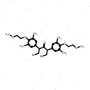 COCCOc1c(C)cc(C(CBr)C(=O)C(CBr)c2cc(C)c(OCCOC)c(C)c2)cc1C